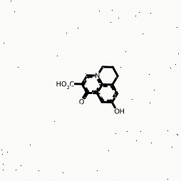 O=C(O)c1cn2c3c(cc(O)cc3c1=O)CCC2